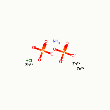 Cl.N.O=P([O-])([O-])[O-].O=P([O-])([O-])[O-].[Zn+2].[Zn+2].[Zn+2]